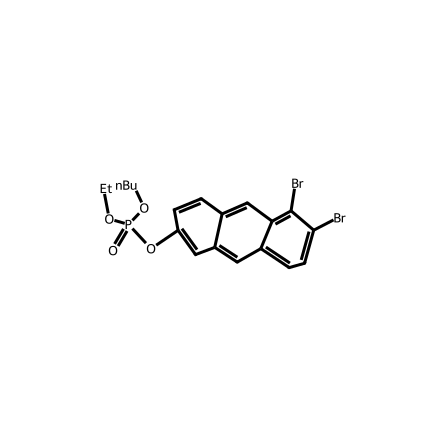 CCCCOP(=O)(OCC)Oc1ccc2cc3c(Br)c(Br)ccc3cc2c1